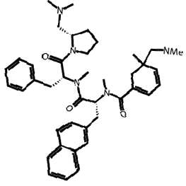 CNCC1(C)C=CC=C(C(=O)N(C)[C@H](Cc2ccc3ccccc3c2)C(=O)N(C)[C@H](Cc2ccccc2)C(=O)N2CCC[C@H]2CN(C)C)C1